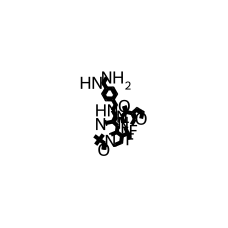 Cc1occc1C(=O)n1nc(C2CN(C(=O)C(C)(C)C)CCC2C(F)(F)F)c(C#N)c1NCc1ccc(C(=N)N)cc1